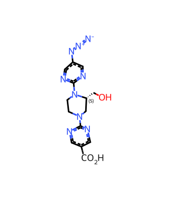 [N-]=[N+]=Nc1cnc(N2CCN(c3ncc(C(=O)O)cn3)C[C@H]2CO)nc1